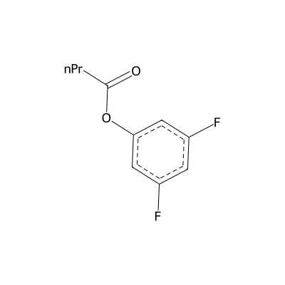 CCCC(=O)Oc1cc(F)cc(F)c1